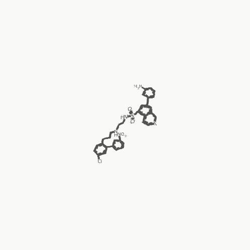 Nc1cccc(-c2cc(S(=O)(=O)NCCNCCCc3ccc(Cl)cc3-c3cccc([N+](=O)[O-])c3)c3ccncc3c2)c1